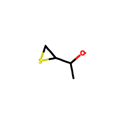 CC([O])C1CS1